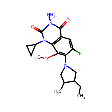 CCC1CN(c2c(F)cc3c(=O)n(N)c(=O)n(C4CC4)c3c2OC)CC1C